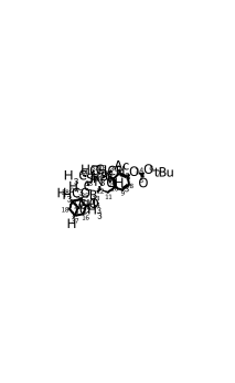 CC(=O)c1c(OC(=O)OC(C)(C)C)ccc(C[C@@H](B2OC3C[C@@H]4C[C@@H](C4(C)C)[C@]3(C)O2)N([Si](C)(C)C)[Si](C)(C)C)c1C